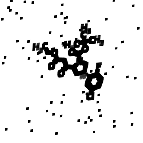 CCOC(=O)CC(=O)C1C[C@@H](c2cc(Cl)ccc2F)CN1C(=O)OC(C)(C)C